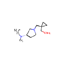 CN(C)[C@H]1CCN(CC2(CO)CC2)C1